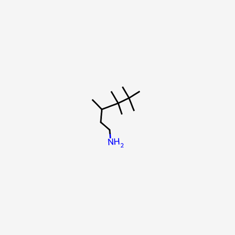 CC(CCN)C(C)(C)C(C)(C)C